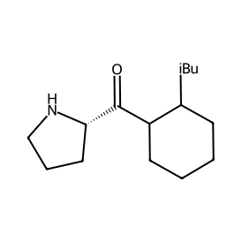 CCC(C)C1CCCCC1C(=O)[C@@H]1CCCN1